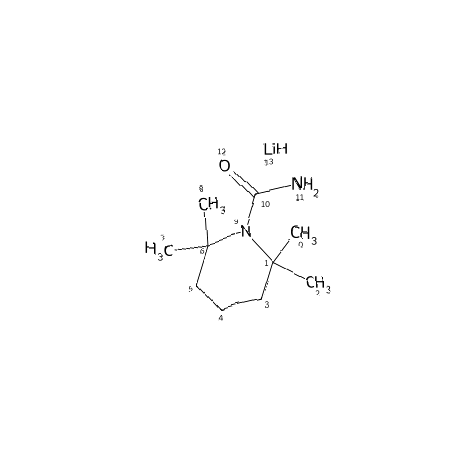 CC1(C)CCCC(C)(C)N1C(N)=O.[LiH]